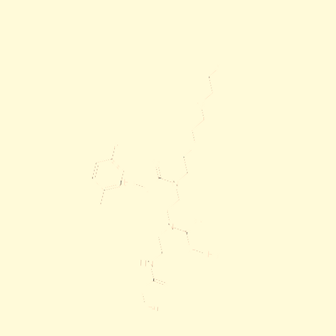 CC(C)(C)OC(=O)NCCN(CCN(CCOCCOCCO)C(=O)OC(C)(C)C)C(=O)OC(C)(C)C.Cc1ccc(S(=O)(=O)O)cc1